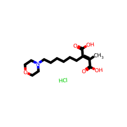 C/C(C(=O)O)=C(/CCCCCCN1CCOCC1)C(=O)O.Cl